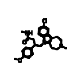 CNC(=O)CC(Cn1c2c(c3cc(Cl)ccc31)CCN(C)CC2)c1ccc(OC)cc1